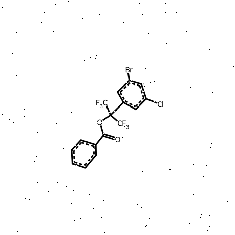 O=C(OC(c1cc(Cl)[c]c(Br)c1)(C(F)(F)F)C(F)(F)F)c1ccccc1